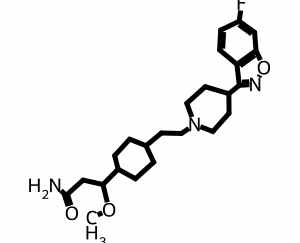 COC(CC(N)=O)C1CCC(CCN2CCC(c3noc4cc(F)ccc34)CC2)CC1